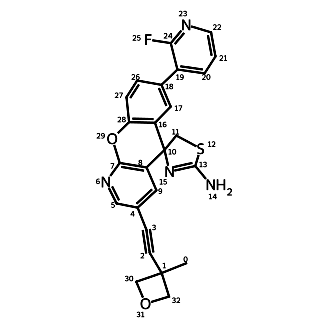 CC1(C#Cc2cnc3c(c2)C2(CSC(N)=N2)c2cc(-c4cccnc4F)ccc2O3)COC1